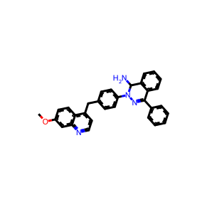 COc1ccc2c(Cc3ccc(N4N=C(c5ccccc5)c5ccccc5C4N)cc3)ccnc2c1